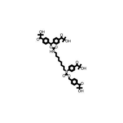 CC(C)(O)C(=O)c1ccc(COC(=O)N(CCCCCCCCNC(=O)OC(c2ccc(C(=O)C(C)(C)O)cc2)c2ccc(C(=O)C(C)(C)O)cc2)c2ccc(C(=O)C(C)(C)O)cc2)cc1